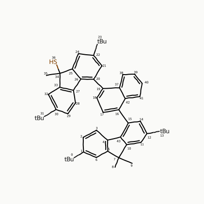 CC(C)(C)c1ccc2c(c1)C(C)(C)c1cc(C(C)(C)C)cc(-c3ccc(-c4cc(C(C)(C)C)cc5c4-c4ccc(C(C)(C)C)cc4C5(C)S)c4ccccc34)c1-2